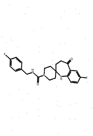 O=C1CCC2(CCN(C(=O)NCc3ccc(F)cc3)CC2)Nc2ccc(F)cc21